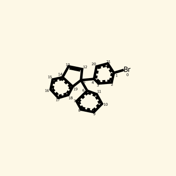 Brc1ccc(C2(c3ccccc3)C=Cc3ccccc32)cc1